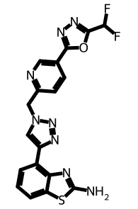 Nc1nc2c(-c3cn(Cc4ccc(-c5nnc(C(F)F)o5)cn4)nn3)cccc2s1